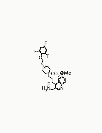 COc1ccc2ncc(CN)c([C@H](F)CCC3(C(=O)O)CCN(CCOc4c(F)cc(F)cc4F)CC3)c2c1